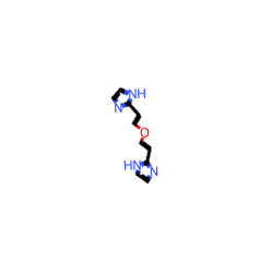 C(=Cc1ncc[nH]1)OC=Cc1ncc[nH]1